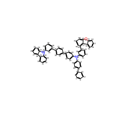 c1ccc(-c2ccc(N(c3ccc(-c4ccc(-c5cccc(-n6c7ccccc7c7ccccc76)c5)cc4)cc3)c3cccc(-c4cccc5oc6ccccc6c45)c3)cc2)cc1